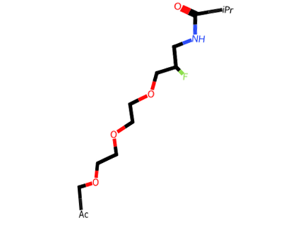 CC(=O)COCCOCCOCC(F)CNC(=O)C(C)C